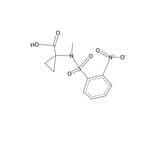 CN(C1(C(=O)O)CC1)S(=O)(=O)c1ccccc1[N+](=O)[O-]